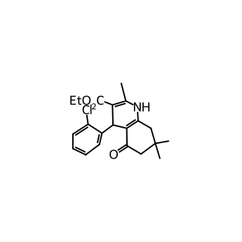 CCOC(=O)C1=C(C)NC2=C(C(=O)CC(C)(C)C2)C1c1ccccc1Cl